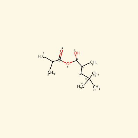 CC(C)C(=O)OC(O)C(C)CC(C)(C)C